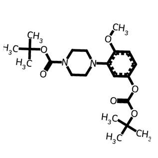 COc1ccc(OC(=O)OC(C)(C)C)cc1N1CCN(C(=O)OC(C)(C)C)CC1